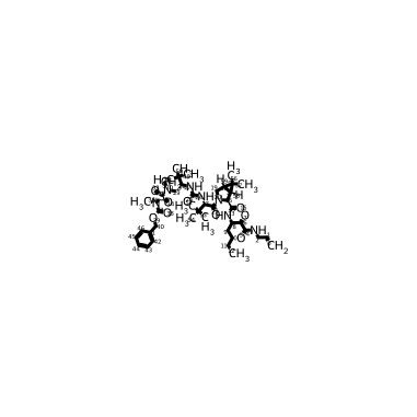 C=CCNC(=O)C(=O)C(CCCC)NC(=O)[C@@H]1[C@@H]2[C@H](CN1C(=O)[C@@H](NC(=O)N[C@H](CN(C)S(=O)(=O)N(C)C(=O)OCc1ccccc1)C(C)(C)C)C(C)(C)C)C2(C)C